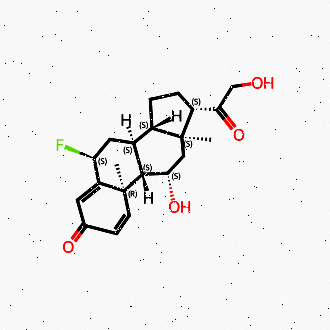 C[C@]12C[C@H](O)[C@H]3[C@@H](C[C@H](F)C4=CC(=O)C=C[C@@]43C)[C@@H]1CC[C@@H]2C(=O)CO